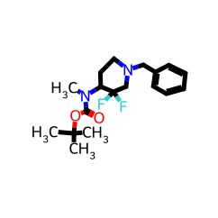 CN(C(=O)OC(C)(C)C)C1CCN(Cc2ccccc2)CC1(F)F